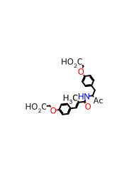 CC(=O)[C@H](Cc1ccc(OCC(=O)O)cc1)NC(=O)/C(C)=C/c1ccc(OCC(=O)O)cc1